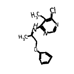 Cc1c(Cl)ncnc1NC(C)COc1ccccc1